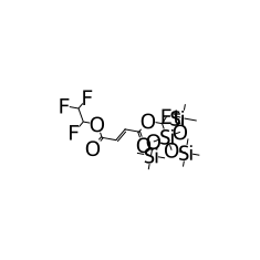 CCC(OC(=O)C=CC(=O)OC(F)C(F)F)[Si](O[Si](C)(C)C)(O[Si](C)(C)C)O[Si](C)(C)C